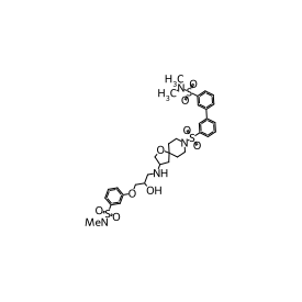 CNS(=O)(=O)c1cccc(OCC(O)CNC2COC3(CCN(S(=O)(=O)c4cccc(-c5cccc(S(=O)(=O)N(C)C)c5)c4)CC3)C2)c1